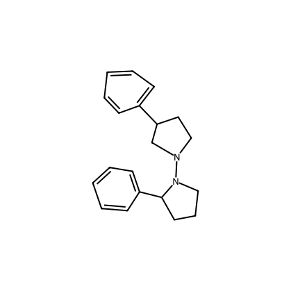 c1ccc(C2CCN(N3CCCC3c3ccccc3)C2)cc1